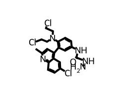 Cc1cc(-c2cc(NC(=O)NN)ccc2N(CCCl)CCCl)c2cc(Cl)ccc2n1